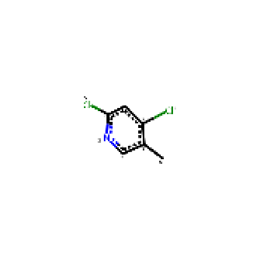 Cc1cnc(Cl)cc1Cl